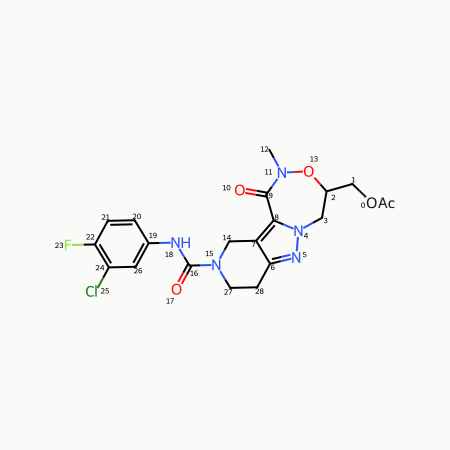 CC(=O)OCC1Cn2nc3c(c2C(=O)N(C)O1)CN(C(=O)Nc1ccc(F)c(Cl)c1)CC3